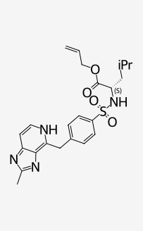 C=CCOC(=O)[C@H](CC(C)C)NS(=O)(=O)c1ccc(Cc2[nH]ccc3nc(C)nc2-3)cc1